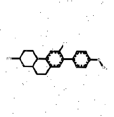 CCCC1CCC2c3cc(F)c(-c4ccc(OC(F)(F)F)cc4)cc3CCC2C1